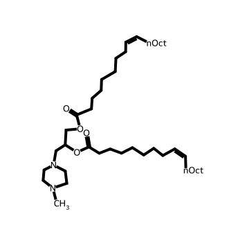 CCCCCCCC/C=C\CCCCCCCC(=O)OCC(CN1CCN(C)CC1)OC(=O)CCCCCCC/C=C\CCCCCCCC